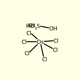 O=S(=O)(O)O.[Cl][Os]([Cl])([Cl])([Cl])([Cl])[Cl].[KH]